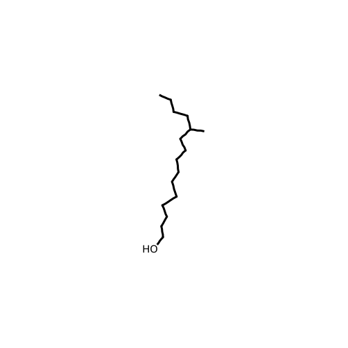 CCCCC(C)CCCCCCCCCCO